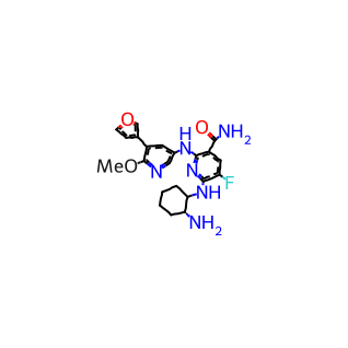 COc1ncc(Nc2nc(NC3CCCC[C@@H]3N)c(F)cc2C(N)=O)cc1-c1ccoc1